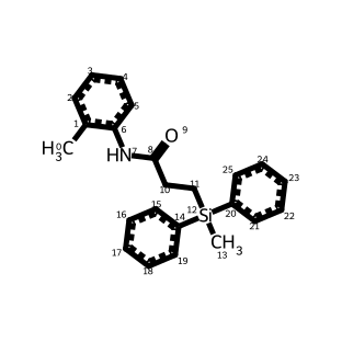 Cc1ccccc1NC(=O)CC[Si](C)(c1ccccc1)c1ccccc1